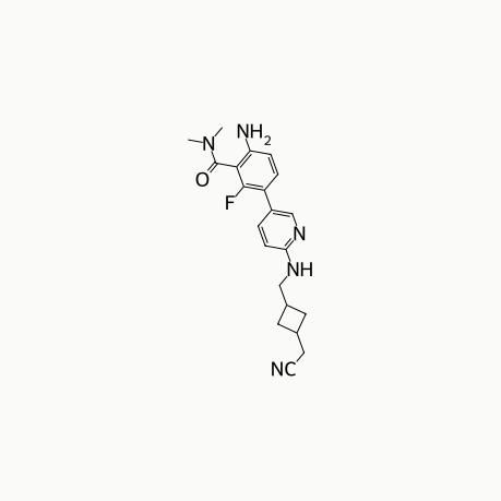 CN(C)C(=O)c1c(N)ccc(-c2ccc(NCC3CC(CC#N)C3)nc2)c1F